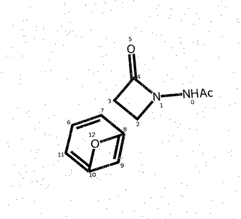 CC(=O)NN1CCC1=O.c1cc2cc(c1)O2